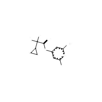 CCC(O)(C(=O)Nc1cc(Br)nc(OC)c1)C1CC1